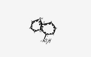 O=S(=O)(O)c1cccc2ncccc12